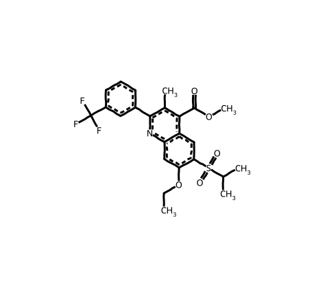 CCOc1cc2nc(-c3cccc(C(F)(F)F)c3)c(C)c(C(=O)OC)c2cc1S(=O)(=O)C(C)C